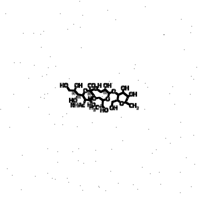 CC(=O)NC1C([C@H](O)[C@H](O)CO)O[C@@](OC[C@H](O)C(OC2C(CO)OC(C)C(O)C2O)OC(CO)[C@@H](C)O)(C(=O)O)C[C@H]1O